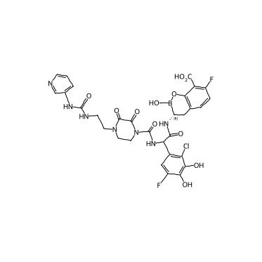 O=C(NCCN1CCN(C(=O)NC(C(=O)N[C@H]2Cc3ccc(F)c(C(=O)O)c3OB2O)c2cc(F)c(O)c(O)c2Cl)C(=O)C1=O)Nc1cccnc1